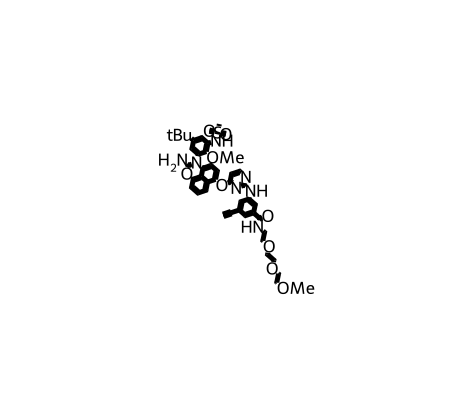 C#Cc1cc(Nc2nccc(Oc3ccc(N(C(N)=O)c4cc(C(C)(C)C)cc(NS(C)(=O)=O)c4OC)c4ccccc34)n2)cc(C(=O)NCCOCCOCCOC)c1